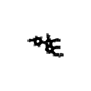 CCOC(=O)c1ncc2c(c1O)c(C(C)(C)C)c(Br)n2-c1ccc(F)cc1